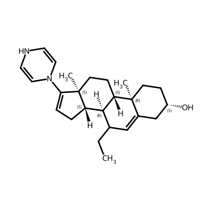 CCC1C=C2C[C@@H](O)CC[C@]2(C)[C@H]2CC[C@]3(C)C(N4C=CNC=C4)=CC[C@H]3[C@H]12